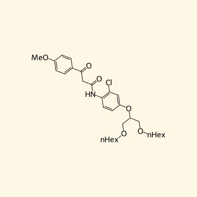 CCCCCCOCC(COCCCCCC)Oc1ccc(NC(=O)CC(=O)c2ccc(OC)cc2)c(Cl)c1